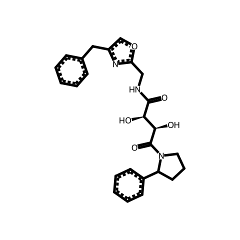 O=C(NCc1nc(Cc2ccccc2)co1)[C@H](O)[C@@H](O)C(=O)N1CCCC1c1ccccc1